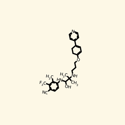 Cc1c(NC(O)C(C)(C)NCCCOC2=CC=C(c3ccncc3)CC2)ccc(C#N)c1C(F)(F)F